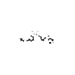 CC(C)(C)C(=O)NCC1OC(OP(=O)(O)OP(=O)(O)OCC2OC(n3cnc4c(=O)[nH]c(N)nc43)C(O)C2O)C(O)C(O)C1O